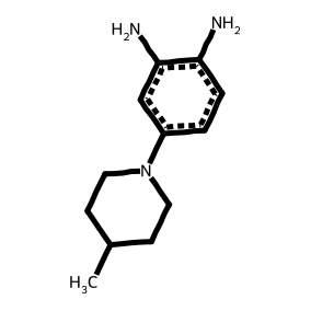 CC1CCN(c2ccc(N)c(N)c2)CC1